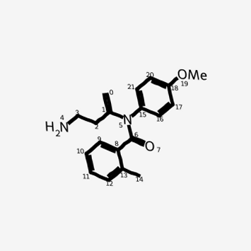 C=C(CCN)N(C(=O)c1ccccc1C)c1ccc(OC)cc1